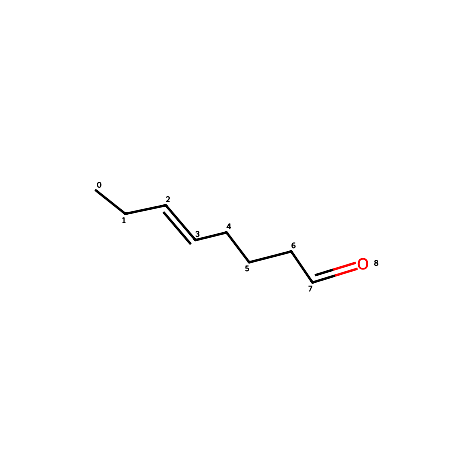 CC/C=C/CCCC=O